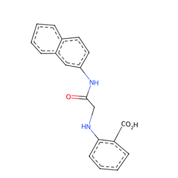 O=C(CNc1ccccc1C(=O)O)Nc1ccc2ccccc2c1